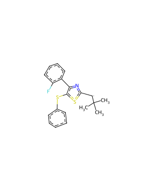 CC(C)(C)[CH]c1nc(-c2ccccc2F)c(Sc2ccccc2)s1